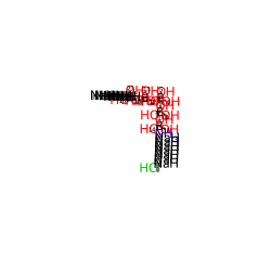 Cl.N.OB(O)O.OB(O)O.OB(O)O.OB(O)O.OB(O)O.[NaH].[NaH].[NaH].[NaH].[NaH].[NaH].[NaH].[NaH].[NaH].[NaH].[NaH].[NaH].[NaH].[NaH]